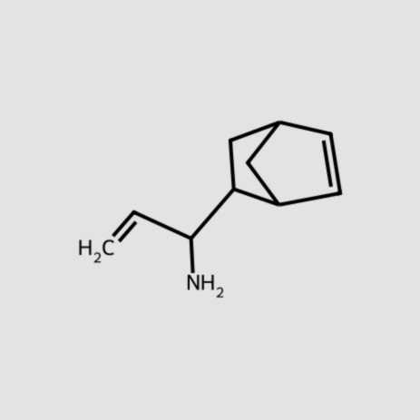 C=CC(N)C1CC2C=CC1C2